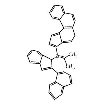 C[C](C)=[Zr]([C]1=CC=C2C1=CCc1ccc3ccccc3c12)[CH]1C(c2cccc3ccccc23)=Cc2ccccc21